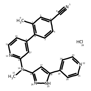 Cc1cc(C#N)ccc1-c1ccnc(N(C)c2cc(-c3ccncc3)[nH]n2)c1.Cl